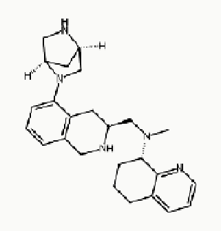 CN(C[C@@H]1Cc2c(cccc2N2C[C@H]3C[C@@H]2CN3)CN1)[C@H]1CCCc2cccnc21